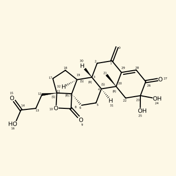 C=C1C[C@@H]2[C@H](CC[C@]34C(=O)O[C@]3(CCC(=O)O)CC[C@@H]24)[C@@]2(C)CC(O)(O)C(=O)C=C12